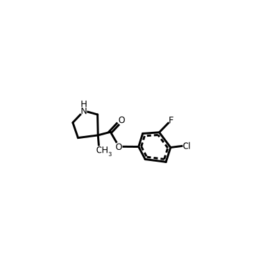 CC1(C(=O)Oc2ccc(Cl)c(F)c2)CCNC1